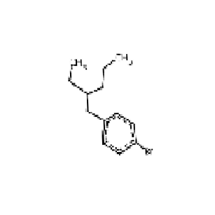 CCCC(CC)Cc1ccc(Br)cc1